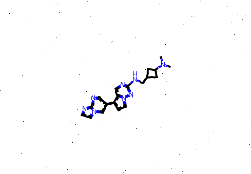 CN(C)C1CC(CNc2ncc3c(-c4cnc5nccn5c4)ccn3n2)C1